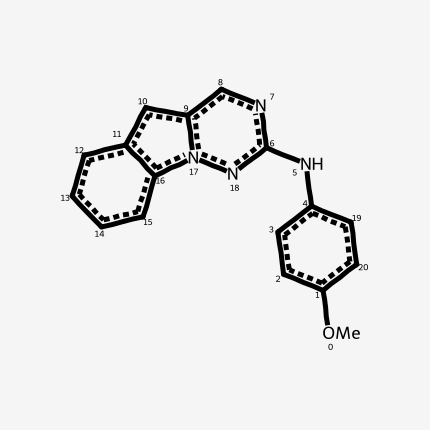 COc1ccc(Nc2ncc3cc4ccccc4n3n2)cc1